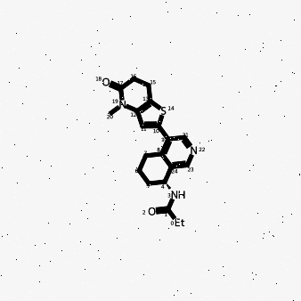 CCC(=O)N[C@@H]1CCCc2c(-c3cc4c(s3)CCC(=O)N4C)cncc21